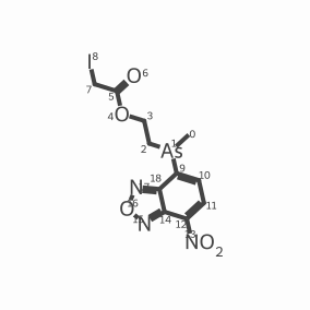 C[As](CCOC(=O)CI)c1ccc([N+](=O)[O-])c2nonc12